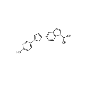 Oc1ccc(C2=CC=C(c3ccc4c(c3)C=CC4C(O)O)C2)cc1